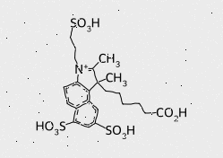 CC1=[N+](CCCS(=O)(=O)O)c2ccc3c(S(=O)(=O)O)cc(S(=O)(=O)O)cc3c2C1(C)CCCCCC(=O)O